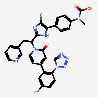 CN(C(=O)O)c1ccc(-c2[nH]c(C(Cc3cccnc3)n3ccc(-c4cc(Cl)ccc4-n4cnnn4)cc3=O)nc2Cl)cc1